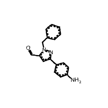 Nc1ccc(-c2cc(C=O)n(Cc3ccccc3)n2)cc1